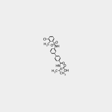 Cc1c(Cl)cccc1S(=O)(=O)Nc1cccc(-c2ccc(C(=O)N[C@H](C(=O)O)C(C)C)cc2)c1